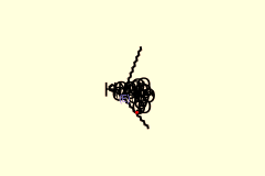 CCCCCCCCCCCCC/C=C/[C@@H](OC(=O)c1ccccc1)[C@H](CO[C@H]1O[C@H](COC(=O)OC(C)(C)C)[C@H](OC(=O)OC(C)(C)C)[C@H](OC(OC)OC)[C@H]1OC)NC(=O)CCCCCCCCCCCCCCC